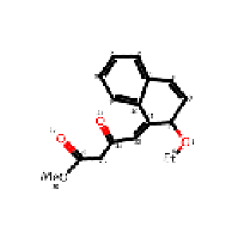 CCOC1C=Cc2ccccc2C1=CC(=O)CC(=O)OC